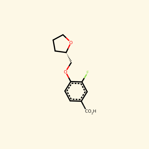 O=C(O)c1ccc(OC[C@@H]2CCCO2)c(F)c1